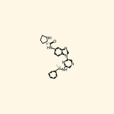 C[C@H](Nc1cncc(-n2cnc3cc(NC(=O)[C@@H]4CCCN4)ccc32)n1)c1ccccc1